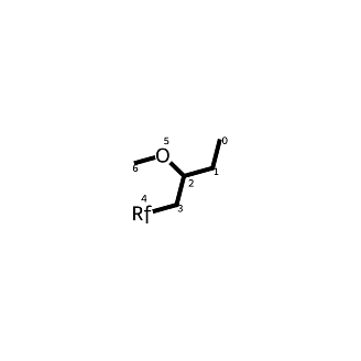 CCC([CH2][Rf])OC